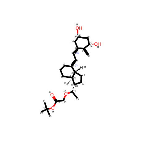 C=C1/C(=C\C=C2/CCC[C@]3(C)[C@@H](C(C)OCC(=O)OC(C)(C)C)CC[C@@H]23)C[C@@H](O)C[C@@H]1O